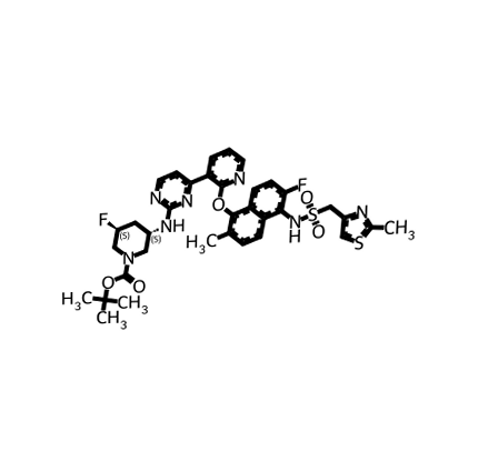 Cc1nc(CS(=O)(=O)Nc2c(F)ccc3c(Oc4ncccc4-c4ccnc(N[C@H]5C[C@H](F)CN(C(=O)OC(C)(C)C)C5)n4)c(C)ccc23)cs1